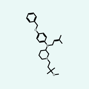 COC(C)(C)CCN1CCCC(N(CC=C(C)C)c2ccc(OCc3ccccc3)cc2)C1